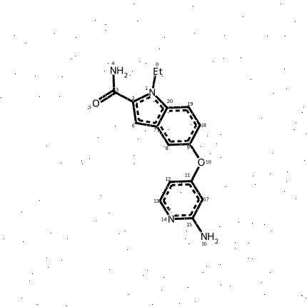 CCn1c(C(N)=O)cc2cc(Oc3ccnc(N)c3)ccc21